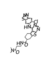 CN(C)C(=O)CCNC(=O)[C@H]1CCc2c(sc3ncnc(Nc4cc5snnc5cc4Cl)c23)C1